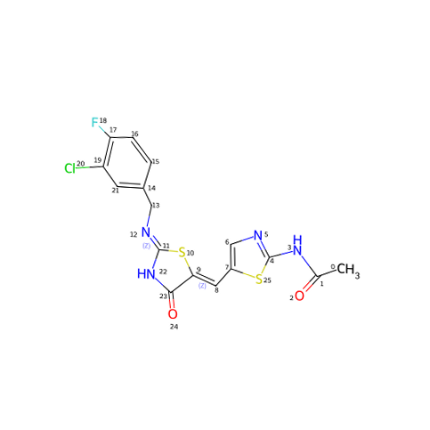 CC(=O)Nc1ncc(/C=C2\S/C(=N\Cc3ccc(F)c(Cl)c3)NC2=O)s1